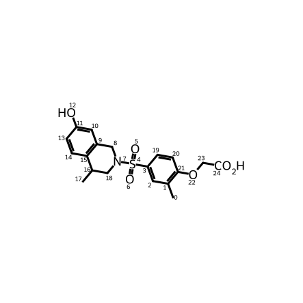 Cc1cc(S(=O)(=O)N2Cc3cc(O)ccc3C(C)C2)ccc1OCC(=O)O